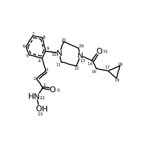 O=C(C=Cc1ccccc1N1CCN(C(=O)CC2CC2)CC1)NO